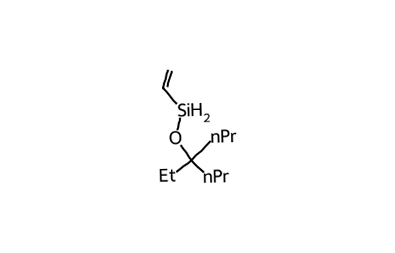 C=C[SiH2]OC(CC)(CCC)CCC